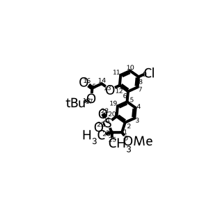 COC1c2ccc(-c3cc(Cl)ccc3OCC(=O)OC(C)(C)C)cc2S(=O)(=O)C1(C)C